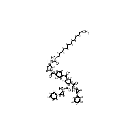 CCCCCCCCCCCCCNC(=O)N[C@@H]1CCN(C(=O)c2ccc(C(=O)N3C[C@@H](C(=O)N[C@H]4C[C@@H]4c4ccccc4)[C@H](C(=O)N[C@H]4C[C@@H]4c4ccccc4)C3)cc2)C1